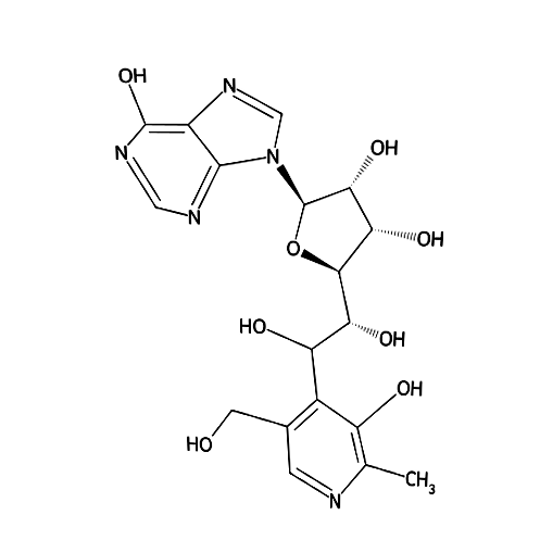 Cc1ncc(CO)c(C(O)[C@@H](O)[C@H]2O[C@@H](n3cnc4c(O)ncnc43)[C@H](O)[C@@H]2O)c1O